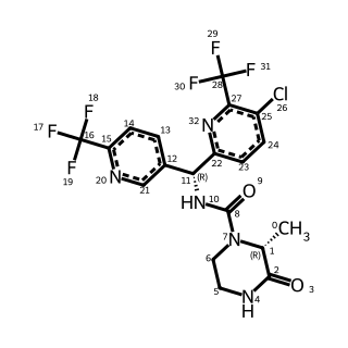 C[C@@H]1C(=O)NCCN1C(=O)N[C@H](c1ccc(C(F)(F)F)nc1)c1ccc(Cl)c(C(F)(F)F)n1